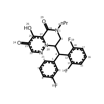 CCCN1CC(C(c2cccc(F)c2)c2c(F)cccc2F)n2ncc(=O)c(O)c2C1=O